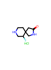 Cl.O=C1CC2(CCNCC2F)CN1